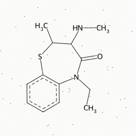 CCN1C(=O)C(NC)C(C)Sc2ccccc21